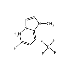 CN1C=CN2[NH2+]C(F)=CC=C12.F[B-](F)(F)F